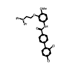 COc1ccc(NC(=O)c2ccc(-c3ccc(Cl)cc3Cl)cc2)cc1OCCN(C(C)C)C(C)C